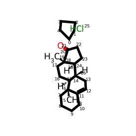 C1CCCC1.C[C@]12CCCCC1=CC[C@@H]1[C@@H]2CC[C@]2(C)C(=O)CC[C@@H]12.Cl